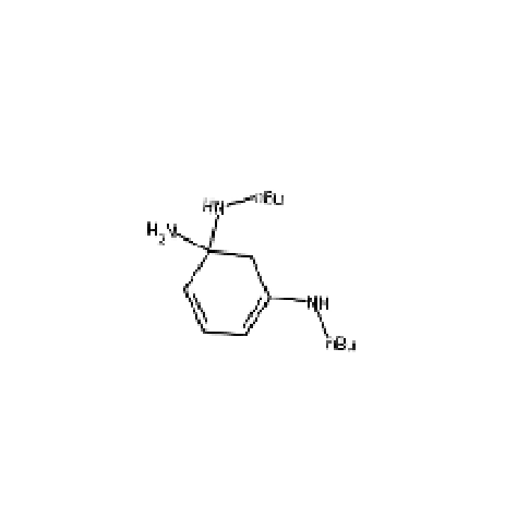 CCCCNC1=CC=CC(N)(NCCCC)C1